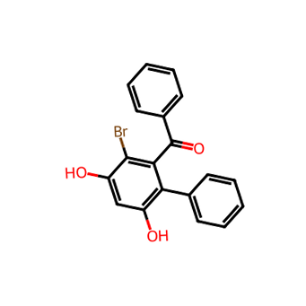 O=C(c1ccccc1)c1c(Br)c(O)cc(O)c1-c1ccccc1